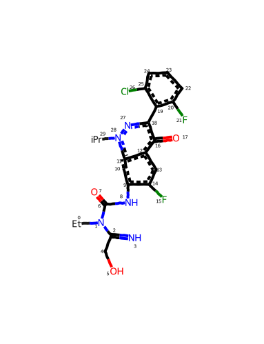 CCN(C(=N)CO)C(=O)Nc1cc2c(cc1F)c(=O)c(-c1c(F)cccc1Cl)nn2C(C)C